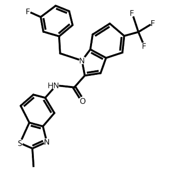 Cc1nc2cc(NC(=O)c3cc4cc(C(F)(F)F)ccc4n3Cc3cccc(F)c3)ccc2s1